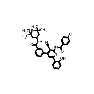 CC1(C)CC(NC(=O)c2cccc(-c3cc(-c4ccccc4O)nc(NC(=O)c4ccc(Cl)cc4)c3C#N)c2)CC(C)(C)N1